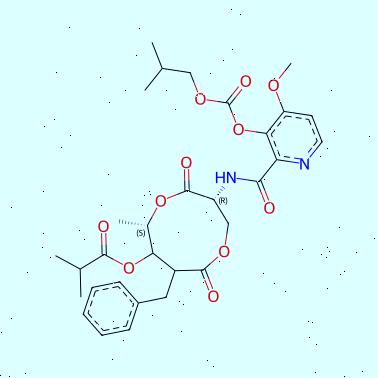 COc1ccnc(C(=O)N[C@@H]2COC(=O)C(Cc3ccccc3)C(OC(=O)C(C)C)[C@H](C)OC2=O)c1OC(=O)OCC(C)C